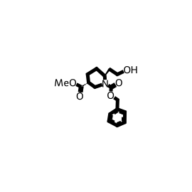 COC(=O)[C@@H]1CC[C@@H](CCO)N(C(=O)OCc2ccccc2)C1